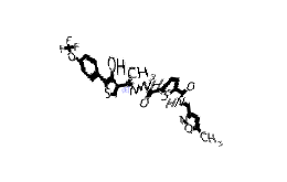 C/C(=N\NC(=O)c1ccc(C(=O)NCc2cc(C)on2)s1)c1csc(-c2ccc(OC(F)(F)F)cc2)c1O